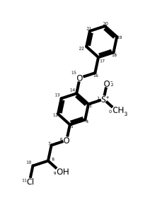 C[S+]([O-])c1cc(OCC(O)CCl)ccc1OCc1ccccc1